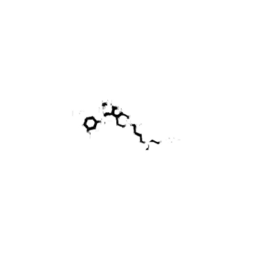 COCCN(C)CC=CC(=O)N1CCc2c(sc3ncnc(Nc4cc(O)cc(Cl)c4)c23)C1